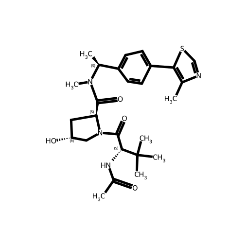 CC(=O)N[C@H](C(=O)N1C[C@H](O)C[C@H]1C(=O)N(C)[C@@H](C)c1ccc(-c2scnc2C)cc1)C(C)(C)C